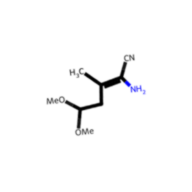 COC(C/C(C)=C(\N)C#N)OC